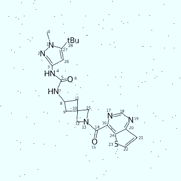 Cn1nc(NC(=O)NC2CC3(C2)CN(C(=O)c2ncnc4ccsc24)C3)cc1C(C)(C)C